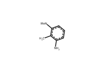 CNc1cccc(N)c1C